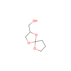 OCC1COC2(CCCO2)O1